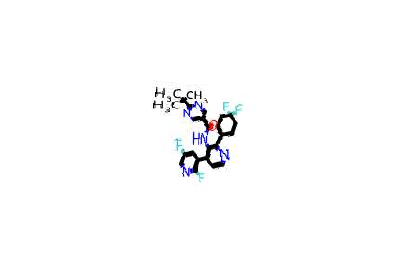 CC(C)(C)c1ncc(C(=O)Nc2c(-c3cc(F)cnc3F)ccnc2C2CCC(F)(F)CC2)cn1